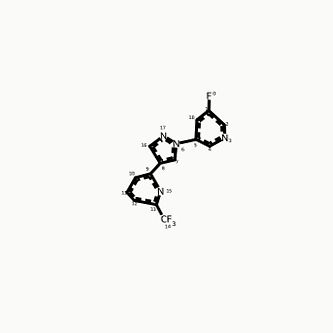 Fc1cncc(-n2cc(-c3cccc(C(F)(F)F)n3)cn2)c1